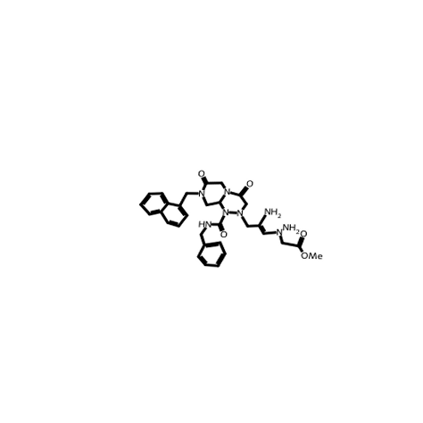 COC(=O)CN(N)/C=C(\N)CN1CC(=O)N2CC(=O)N(Cc3cccc4ccccc34)CC2N1C(=O)NCc1ccccc1